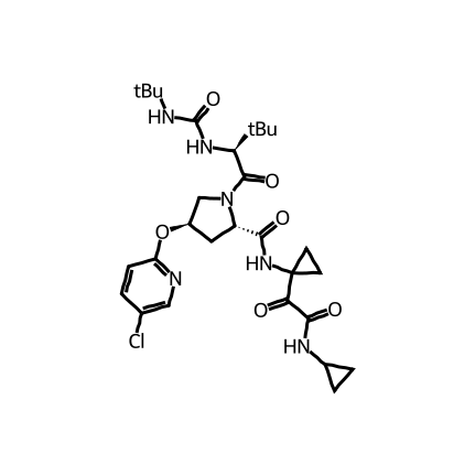 CC(C)(C)NC(=O)N[C@H](C(=O)N1C[C@H](Oc2ccc(Cl)cn2)C[C@H]1C(=O)NC1(C(=O)C(=O)NC2CC2)CC1)C(C)(C)C